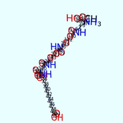 CN[C@@H](CCCCNC(=O)COCCOCCNC(=O)COCCOCCNC(=O)CCC(NC(=O)CCCCCCCCCCCCCCC(=O)O)C(=O)O)C(=O)CO